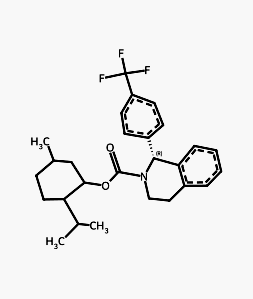 CC1CCC(C(C)C)C(OC(=O)N2CCc3ccccc3[C@H]2c2ccc(C(F)(F)F)cc2)C1